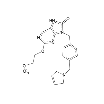 O=c1[nH]c2cnc(OCCOC(F)(F)F)nc2n1Cc1ccc(CN2CC=CC2)cc1